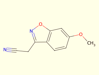 COc1ccc2c(CC#N)noc2c1